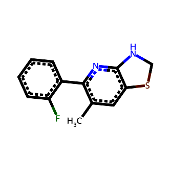 Cc1cc2c(nc1-c1ccccc1F)NCS2